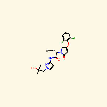 CC(C)C[C@@H](C(=O)Nc1ccn(CC(C)(C)O)n1)N1CC(Oc2c(F)cccc2F)=CC1=O